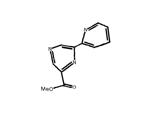 COC(=O)c1cncc(-c2ccccn2)n1